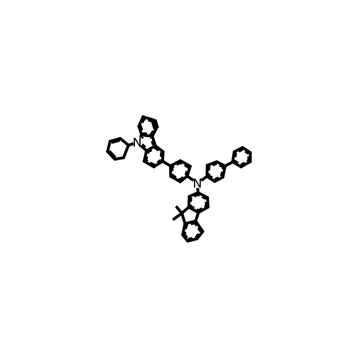 CC1(C)c2ccccc2-c2ccc(N(c3ccc(-c4ccccc4)cc3)c3ccc(-c4ccc5c(c4)c4c#cccc4n5C4C=CC=CC4)cc3)cc21